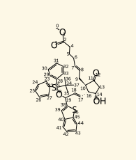 COC(=O)CCCC=CC[C@H]1C(=O)C[C@@H](O)[C@@H]1C=CC(O[Si](c1ccccc1)(c1ccccc1)C(C)(C)C)c1cc2ccccc2s1